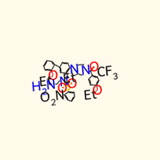 CCOc1ccc(C(=O)N2CCN(c3ccc(-c4ccccc4OCC)cc3CN(CCN)S(=O)(=O)c3ccccc3[N+](=O)[O-])[C@H](CC)C2)c(C(F)(F)F)c1